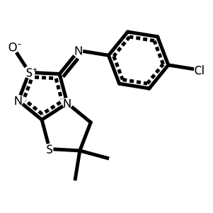 CC1(C)Cn2c(n[s+]([O-])/c2=N/c2ccc(Cl)cc2)S1